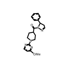 COc1ccnc(N2CCC(C(=O)N3N=CCC3c3ccccc3)CC2)n1